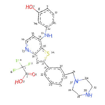 O=C(O)C(F)(F)F.Oc1cccc(Nc2ccnc3cc(-c4cccc(CN5CCNCC5)c4)sc23)c1